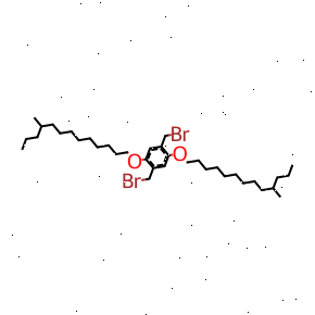 CCCC(C)CCCCCCCCCOc1cc(CBr)c(OCCCCCCCCCC(C)CCC)cc1CBr